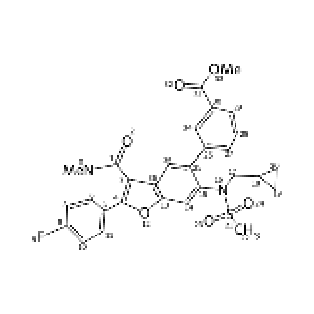 CNC(=O)c1c(-c2ccc(F)cc2)oc2cc(N(CC3CC3)S(C)(=O)=O)c(-c3cccc(C(=O)OC)c3)cc12